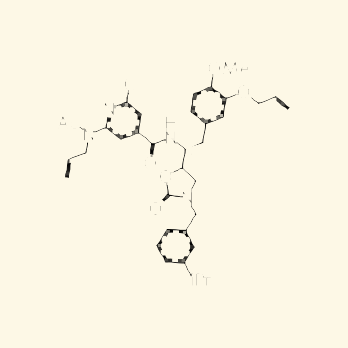 C=CCOc1cc(C[C@H](NC(=O)c2cc(Cl)nc(N(CC=C)C(C)=O)c2)C2CN(Cc3cccc(C(C)C)c3)C(=O)O2)ccc1OC